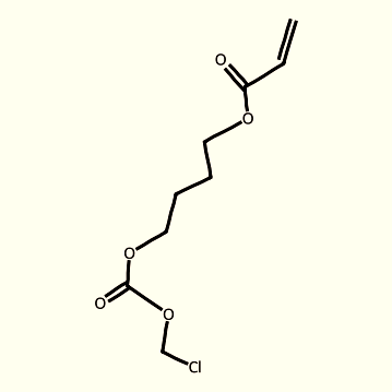 C=CC(=O)OCCCCOC(=O)OCCl